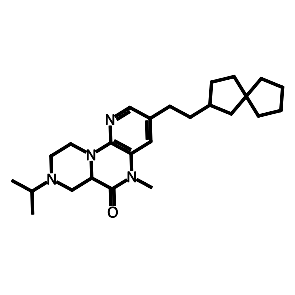 CC(C)N1CCN2c3ncc(CCC4CCC5(CCCC5)C4)cc3N(C)C(=O)C2C1